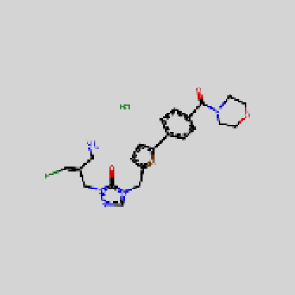 Cl.NC/C(=C/F)Cn1ncn(Cc2ccc(-c3ccc(C(=O)N4CCOCC4)cc3)s2)c1=O